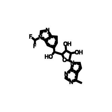 Cc1ncnc2c1ccn2C1OC(C(O)c2ccc3ncn(C(F)F)c3c2)C(O)C1O